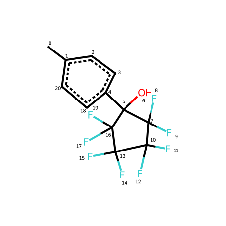 Cc1ccc(C2(O)C(F)(F)C(F)(F)C(F)(F)C2(F)F)cc1